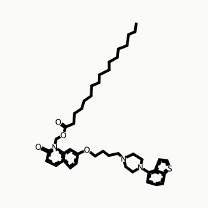 CCCCCCCCCCCCCCCCC(=O)OCn1c(=O)ccc2ccc(OCCCCN3CCN(c4cccc5sccc45)CC3)cc21